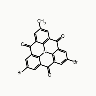 Cc1cc2c(=O)c3cc(Br)cc4c(=O)c5cc(Br)cc6c(=O)c(c1)c2n(c34)c65